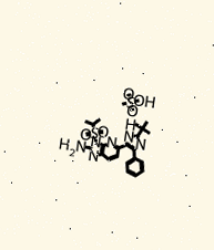 CC(C)S(=O)(=O)n1c(N)nc2ccc(-c3[nH]c(C(C)(C)C)nc3-c3ccccc3)nc21.CS(=O)(=O)O